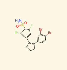 NS(=O)(=O)c1c(F)cc(C2=C(c3ccc(Br)c(Br)c3)CCC2)cc1F